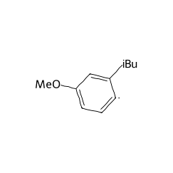 CCC(C)c1[c]ccc(OC)c1